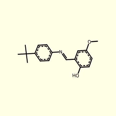 COc1ccc(O)c(C=Nc2ccc(C(C)(C)C)cc2)c1